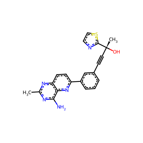 Cc1nc(N)c2nc(-c3cccc(C#C[C@@](C)(O)c4nccs4)c3)ccc2n1